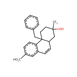 O=C(O)c1ccc2c(c1)C=CC1CC(O)(C(F)(F)F)CCC21Cc1ccccc1